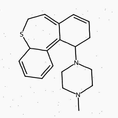 CN1CCN(C2CC=CC3=CCSC4C=CC=CC4=C32)CC1